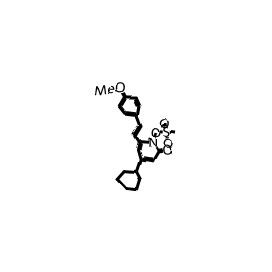 COc1ccc(/C=C/c2cc(C3CCCCC3)cc(=O)n2OS(C)(=O)=O)cc1